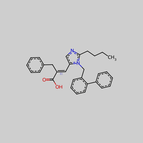 CCCCc1ncc(/C=C(\Cc2ccccc2)C(=O)O)n1Cc1ccccc1-c1ccccc1